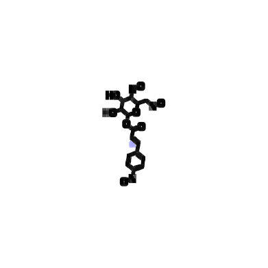 O=NCC1OC(OC(=O)/C=C/c2ccc(N=O)cc2)C(O)C(O)C1N=O